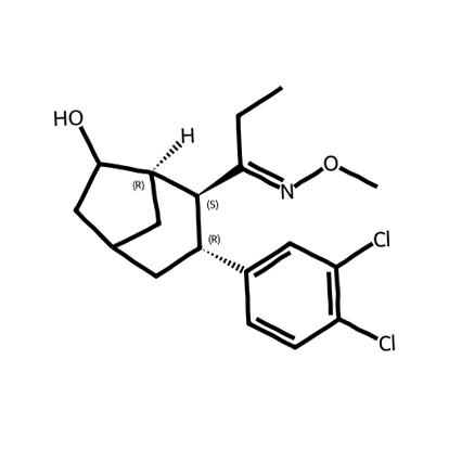 CCC(=NOC)[C@H]1[C@H](c2ccc(Cl)c(Cl)c2)CC2CC(O)[C@@H]1C2